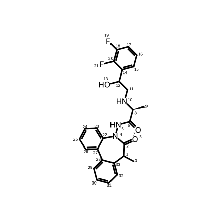 CC1C(=O)N(NC(=O)[C@H](C)NCC(O)c2cccc(F)c2F)c2ccccc2-c2ccccc21